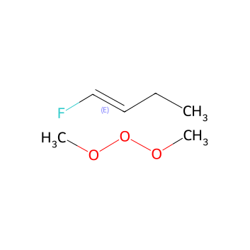 CC/C=C/F.COOOC